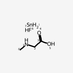 CNCC(=O)O.F.[SnH2]